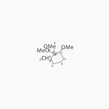 C.COC1CCCC[Si]1(OC)OC